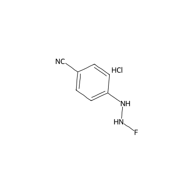 Cl.N#Cc1ccc(NNF)cc1